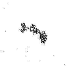 COc1cc(C=Cc2ccc(OC(=O)OCCNC(=O)C(NC(=O)OC(C)(C)C)C(C)C)c(OC)c2)cc(OC)c1